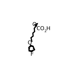 O=C(O)[C@@]1(CCCCCCOc2ccc(F)cc2)CO1